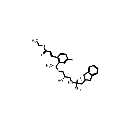 CCOC(=O)/C=C/c1ccc(F)cc1[C@@H](C)OC[C@H](O)CNC(C)(C)CC1Cc2ccccc2C1